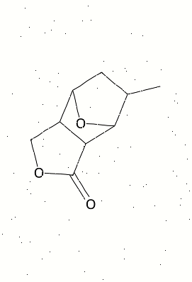 CC1CC2OC1C1C(=O)OCC21